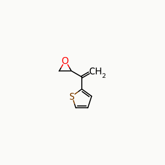 C=C(c1cccs1)C1CO1